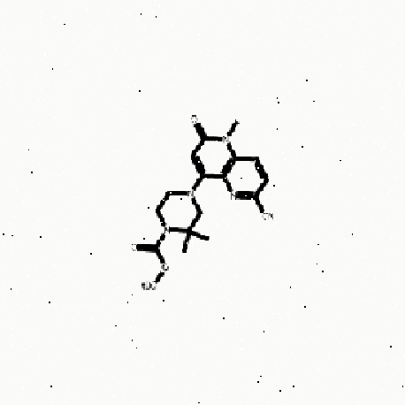 Cn1c(=O)cc(N2CCN(C(=O)OC(C)(C)C)C(C)(C)C2)c2nc(C#N)ccc21